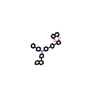 c1ccc(-c2ccc(N(c3ccc(-c4ccc(-c5cccc6c5Oc5cccc7cccc(c57)O6)cc4)cc3)c3ccc(-c4cccc5ccccc45)cc3)cc2)cc1